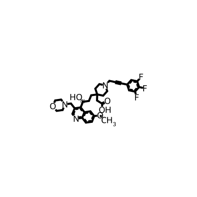 COc1ccc2ncc(CN3CCOCC3)c([C@H](O)CCC3(CC(=O)O)CCN(CC#Cc4cc(F)c(F)c(F)c4)CC3)c2c1